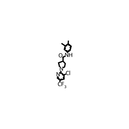 Cc1ccc(NC(=O)C2CCN(c3ncc(C(F)(F)F)cc3Cl)CC2)cc1C